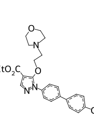 CCOC(=O)c1cnn(-c2ccc(-c3ccc(Cl)cc3)cc2)c1OCCN1CCOCC1